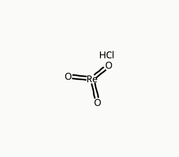 Cl.[O]=[Re](=[O])=[O]